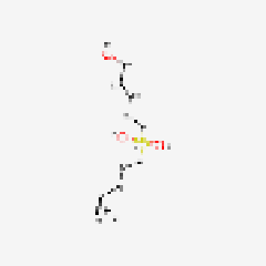 CCCCCS(=O)(=O)CCCCC[O]